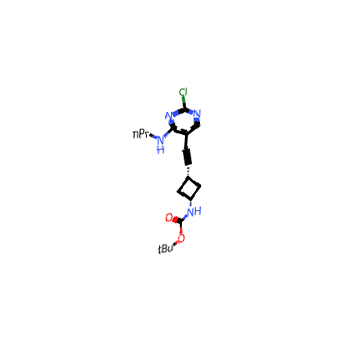 CCCNc1nc(Cl)ncc1C#C[C@H]1C[C@@H](NC(=O)OC(C)(C)C)C1